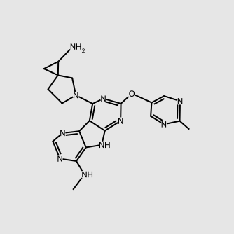 CNc1ncnc2c1[nH]c1nc(Oc3cnc(C)nc3)nc(N3CCC4(CC4N)C3)c12